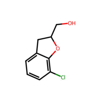 OCC1Cc2cccc(Cl)c2O1